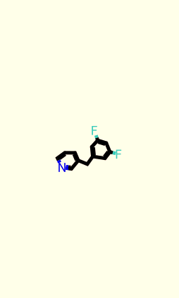 Fc1cc(F)cc(Cc2cccnc2)c1